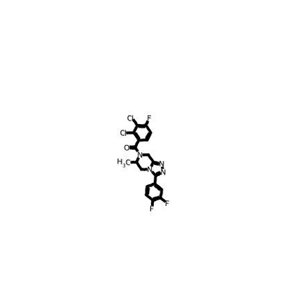 CC1Cn2c(nnc2-c2ccc(F)c(F)c2)CN1C(=O)c1ccc(F)c(Cl)c1Cl